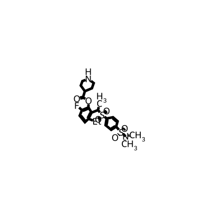 CCc1ccc(F)c(OC(=O)C2CCNCC2)c1C(C)S(=O)(=O)c1ccc(S(=O)(=O)N(C)C)cc1